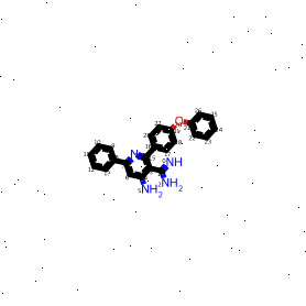 N=C(N)c1c(N)cc(-c2ccccc2)nc1-c1ccc(Oc2ccccc2)cc1